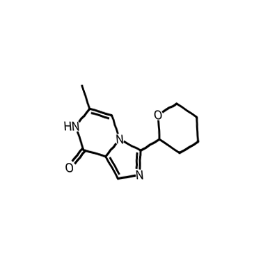 Cc1cn2c(C3CCCCO3)ncc2c(=O)[nH]1